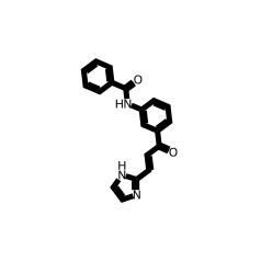 O=C(/C=C/c1ncc[nH]1)c1cccc(NC(=O)c2ccccc2)c1